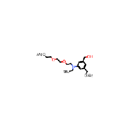 COCCOCCOCCN(CC(C)(C)C)c1cc(CO)cc(COC)c1